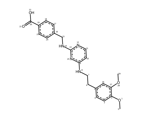 COc1ccc(CCNc2ccnc(NCc3ccc(C(=O)O)cc3)n2)cc1OC